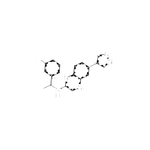 CC(Nc1cnc2cc(-c3cn[nH]c3)ccc2n1)c1cccc(F)c1